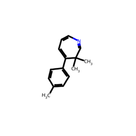 Cc1ccc(C2=CC=CN=CC2(C)C)cc1